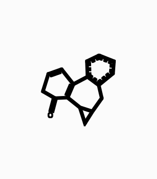 O=C1CC=CC2=C1C1CC1Cc1ccccc12